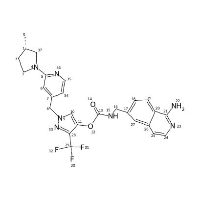 C[C@H]1CCN(c2cc(Cn3cc(OC(=O)NCc4ccc5c(N)nccc5c4)c(C(F)(F)F)n3)ccn2)C1